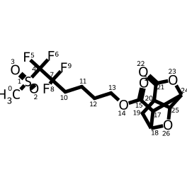 CS(=O)(=O)C(F)(F)C(F)(F)CCCCOC(=O)C1C2CC3C(=O)OC1C3O2